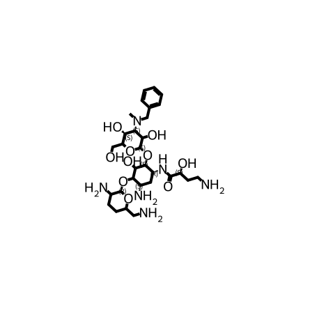 CN(Cc1ccccc1)[C@@H]1C(O)[C@@H](O[C@@H]2C(O)C(O[C@H]3OC(CN)CCC3N)[C@@H](N)C[C@H]2NC(=O)[C@@H](O)CCN)OC(CO)[C@H]1O